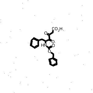 O=C(O)CC(=O)C(=O)C(Cc1ccccc1)NC(=O)OCc1ccccc1